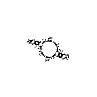 CCc1ncnn1Cc1ccc(C[C@H]2OC(=O)[C@H](CC(C)C)N(C)C(=O)[C@@H](C)OC(=O)[C@H](CC(C)C)N(C)C(=O)[C@@H](Cc3ccc(Cn4ncnc4CC)cc3)OC(=O)[C@H](CC(C)C)N(C)C(=O)[C@@H](C)OC(=O)[C@H](CC(C)C)N(C)C2=O)cc1